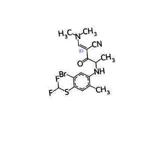 Cc1cc(SC(F)F)c(Br)cc1NC(C)C(=O)/C(C#N)=C/N(C)C